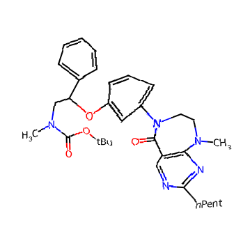 CCCCCc1ncc2c(n1)N(C)CCN(c1cccc(OC(CN(C)C(=O)OC(C)(C)C)c3ccccc3)c1)C2=O